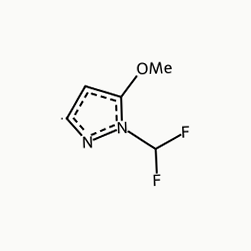 COc1c[c]nn1C(F)F